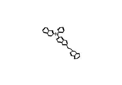 C(=C\c1ccc2cc(N(c3ccccc3)c3ccc4ccccc4c3)ccc2c1)/c1ccc2ccccc2c1